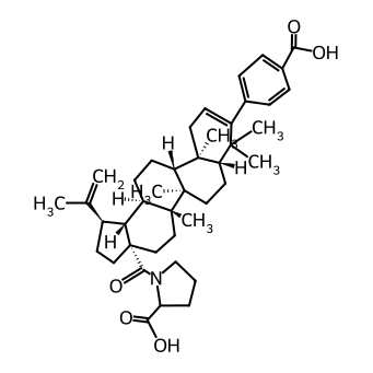 C=C(C)[C@@H]1CC[C@]2(C(=O)N3CCCC3C(=O)O)CC[C@]3(C)[C@H](CC[C@@H]4[C@@]5(C)CC=C(c6ccc(C(=O)O)cc6)C(C)(C)[C@@H]5CC[C@]43C)[C@@H]12